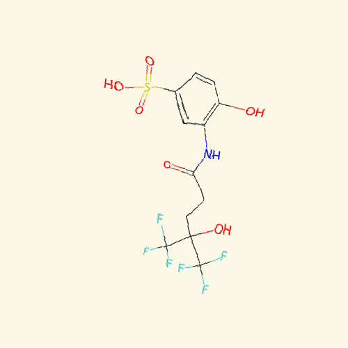 O=C(CCC(O)(C(F)(F)F)C(F)(F)F)Nc1cc(S(=O)(=O)O)ccc1O